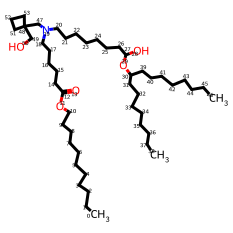 CCCCCCCCCCCOC(=O)CCCCCN(CCCCCCCC(O)OC(CCCCCCCC)CCCCCCCC)CC1(CO)CCC1